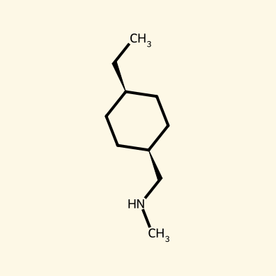 CC[C@H]1CC[C@@H](CNC)CC1